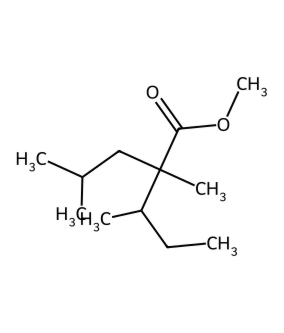 CCC(C)C(C)(CC(C)C)C(=O)OC